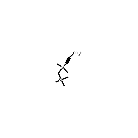 C[Si](C)(C)C[Si](C)(C)C#CC(=O)O